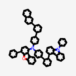 c1ccc(-c2ccc(N(c3ccc(-c4cccc(-c5ccc6ccccc6c5)c4)cc3)c3ccc(-c4ccccc4-c4cccc5c4c4ccccc4n5-c4ccccc4)cc3)c3c2oc2ccccc23)cc1